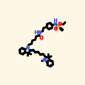 C#CP(=O)(Nc1ccc(CCNC(=O)CCCCCN2/C(=C/C=C/C=C/C3=[N+](C)c4ccccc4C3(C)C)C(C)(C)c3ccccc32)cc1)OCC